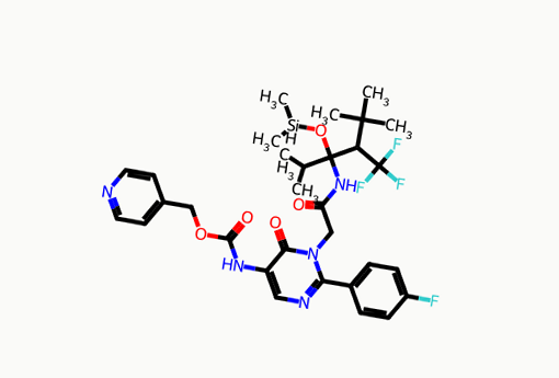 CC(C)C(NC(=O)Cn1c(-c2ccc(F)cc2)ncc(NC(=O)OCc2ccncc2)c1=O)(O[SiH](C)C)C(C(C)(C)C)C(F)(F)F